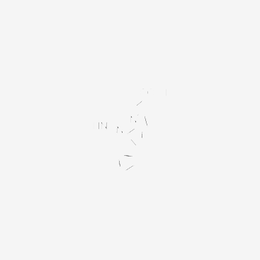 O=C(O)C=Cc1ccc2cc(Cc3ccccc3)cc(N3CCNCC3)c2n1